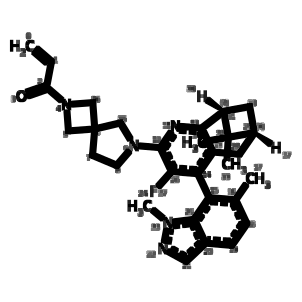 C=CC(=O)N1CC2(CCN(c3nc4c(c(-c5c(C)ccc6cnn(C)c56)c3F)C[C@H]3C[C@@H]4C3(C)C)C2)C1